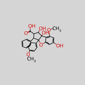 COc1ccc(C23Oc4cc(O)cc(OC)c4C2(O)C(O)C(C(=O)O)C3c2ccccc2)cc1